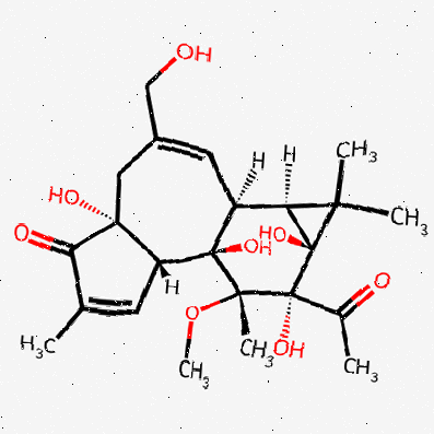 CO[C@]1(C)[C@@]2(O)[C@@H](C=C(CO)C[C@]3(O)C(=O)C(C)=C[C@@H]23)[C@H]2C(C)(C)[C@]2(O)[C@@]1(O)C(C)=O